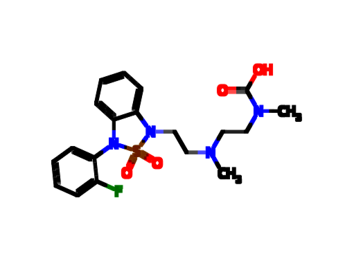 CN(CCN(C)C(=O)O)CCN1c2ccccc2N(c2ccccc2F)S1(=O)=O